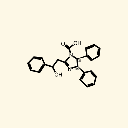 O=C(O)N1C(CC(O)c2ccccc2)=N[C@H](c2ccccc2)[C@@H]1c1ccccc1